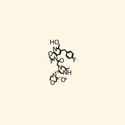 COC[C@@H]1COCCN1C[C@H]1CN[C@H](C)CN1CC(=O)N1c2cc(Cc3ccc(F)cc3)c(CO)nc2OC[C@@H]1C